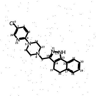 Clc1ccc(N2CCN(Cc3n[nH]c4c3CCc3ccccc3-4)CC2)nc1